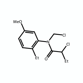 CCc1ccc(OC)cc1N(CCl)C(=O)C(Cl)CC